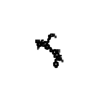 COCCCN1CC(C)(c2cc(F)cc(F)c2)Oc2ccc(CO[C@@H]3CCC(C[C@H](C)C(=O)NCC4CCOCC4)NC3)cc21